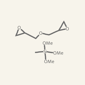 C(OCC1CO1)C1CO1.CO[Si](C)(OC)OC